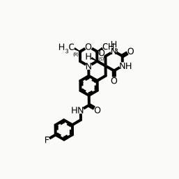 C[C@@H]1CN2c3ccc(C(=O)NCc4ccc(F)cc4)cc3CC3(C(=O)NC(=O)NC3=O)[C@H]2[C@H](C)O1